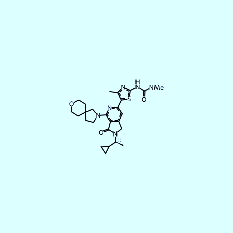 CNC(=O)Nc1nc(C)c(-c2cc3c(c(N4CCC5(CCOCC5)C4)n2)C(=O)N([C@@H](C)C2CC2)C3)s1